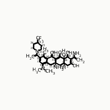 C=C(N)C1=C(O)C[C@@H]2C[C@]3(N)Cc4c(N(C)C)cc(C(=C)N5CCC(C(F)(F)F)CC5)c(C)c4C(=O)C3=C(O)[C@]2(O)C1=C